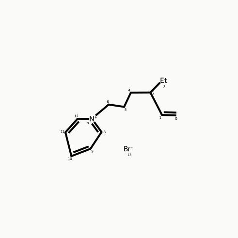 C=CC(CC)CCC[n+]1ccccc1.[Br-]